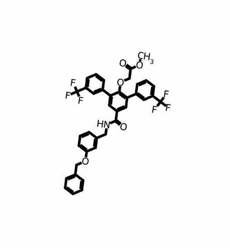 COC(=O)COc1c(-c2cccc(C(F)(F)F)c2)cc(C(=O)NCc2cccc(OCc3ccccc3)c2)cc1-c1cccc(C(F)(F)F)c1